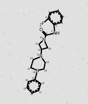 O=C(Nc1ccccc1F)N1CC(N2CCN(c3ccccc3)CC2)C1